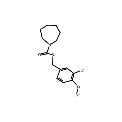 CC(C)Oc1ccc(CSC(=O)N2CCCCCC2)cc1Cl